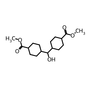 COC(=O)C1CCC(C(O)C2CCC(C(=O)OC)CC2)CC1